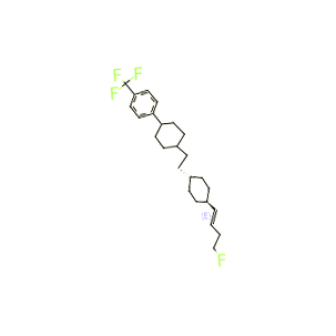 FCC/C=C/[C@H]1CC[C@H](CCC2CCC(c3ccc(C(F)(F)F)cc3)CC2)CC1